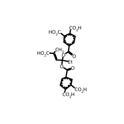 CCC(C=C(C)C(=O)O)(OC(=O)c1ccc(C(=O)O)c(C(=O)O)c1)OC(=O)c1ccc(C(=O)O)c(C(=O)O)c1